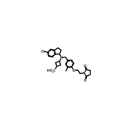 Cc1cc(CN(C2CC(C(=O)O)C2)C2CCc3cc(Cl)ccc32)ccc1OCCN1C(=O)CCC1=O